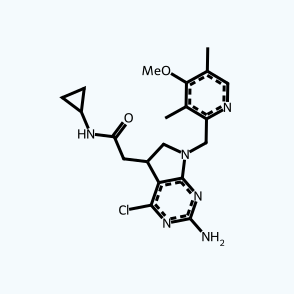 COc1c(C)cnc(CN2CC(CC(=O)NC3CC3)c3c(Cl)nc(N)nc32)c1C